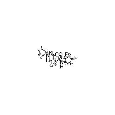 CCOC(=O)C(=NNc1ccccc1)C1=C(C(=O)Nc2ccc(I)cc2)OCC1